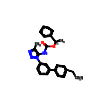 Cc1nnn(-c2cccc(-c3ccc(CC(=O)O)cc3)c2)c1NC(=O)O[C@H](C)c1ccccc1